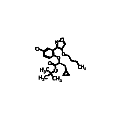 CCCCOC1CON=C1c1cc(Cl)ccc1O[C@@H](CC1CC1)C(=O)OC(C)(C)C